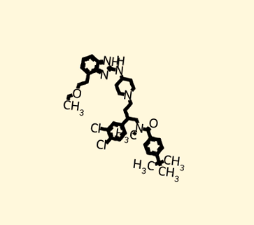 CCOCCc1cccc2[nH]c(NC3CCN(CCC(CN(C)C(=O)c4ccc(C(C)(C)C)cc4)c4ccc(Cl)c(Cl)c4)CC3)nc12